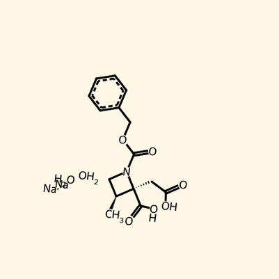 C[C@H]1CN(C(=O)OCc2ccccc2)[C@@]1(CC(=O)O)C(=O)O.O.O.[Na].[Na]